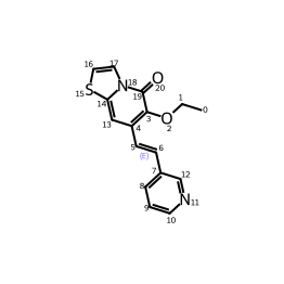 CCOc1c(/C=C/c2cccnc2)cc2sccn2c1=O